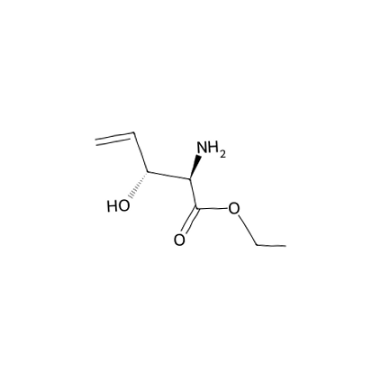 C=C[C@@H](O)[C@@H](N)C(=O)OCC